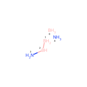 B.BBN.N